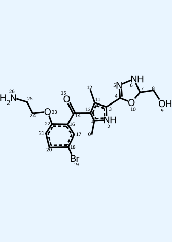 Cc1[nH]c(C2=NNC(CO)O2)c(C)c1C(=O)c1cc(Br)ccc1OCCN